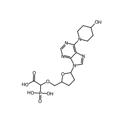 O=C(O)C(OCC1CCC(n2cnc3c(N4CCC(O)CC4)ncnc32)O1)P(=O)(O)O